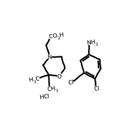 CC1(C)CN(CC(=O)O)CCO1.Cl.Nc1ccc(Cl)c(Cl)c1